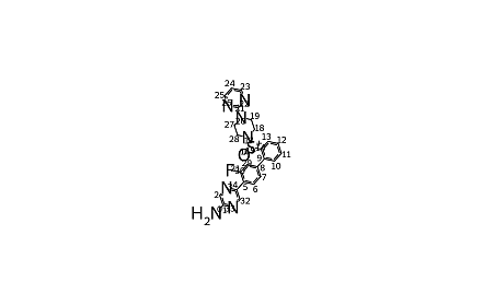 Nc1cnc(-c2ccc(-c3ccccc3[S+]([O-])N3CCN(c4ncccn4)CC3)cc2F)cn1